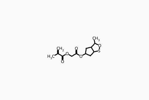 C=C(C)C(=O)OCC(=O)OC1CC2SOC(C)C2C1